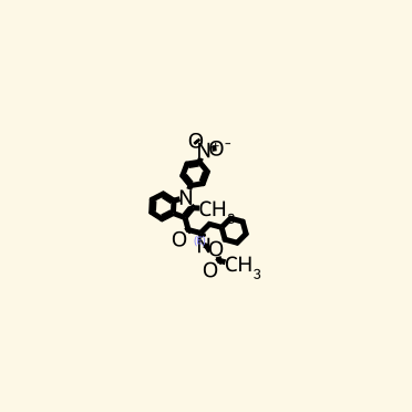 CC(=O)O/N=C(\CC1CCCCC1)C(=O)c1c(C)n(-c2ccc([N+](=O)[O-])cc2)c2ccccc12